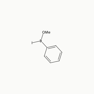 COB(I)c1ccccc1